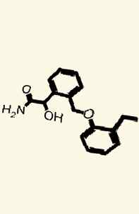 CCc1ccccc1OCc1ccccc1C(O)C(N)=O